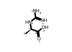 C[C@@H](NC(=N)N)C(=O)O